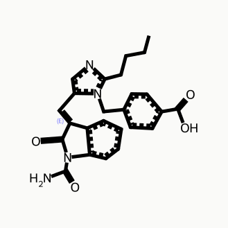 CCCCc1ncc(/C=C2/C(=O)N(C(N)=O)c3ccccc32)n1Cc1ccc(C(=O)O)cc1